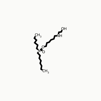 CCCCCCCCN(CCCCCC)C(=O)OCCCCCCNCCO